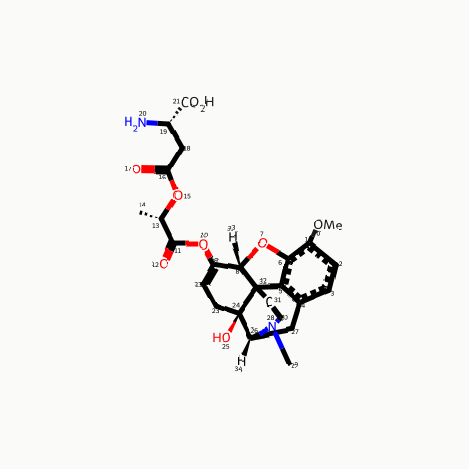 COc1ccc2c3c1O[C@H]1C(OC(=O)[C@H](C)OC(=O)C[C@H](N)C(=O)O)=CC[C@@]4(O)[C@@H](C2)N(C)CCC314